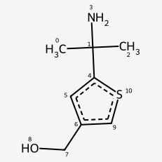 CC(C)(N)c1cc(CO)cs1